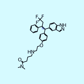 CN(C)C(=O)CCCNCCOc1ccc(/C(=C(/CC(F)(F)F)c2ccccc2)c2ccc3[nH]ncc3c2)cc1